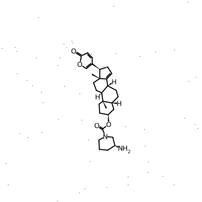 C[C@]12CC[C@H](OC(=O)N3CCC[C@H](N)C3)C[C@H]1CC[C@H]1C3=CC[C@H](c4ccc(=O)oc4)[C@@]3(C)CC[C@@H]12